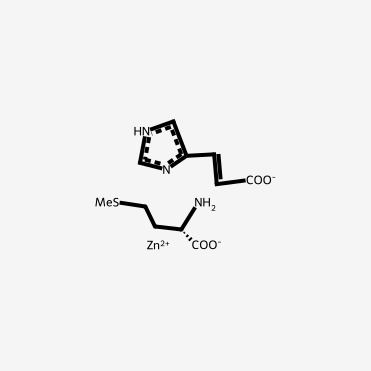 CSCC[C@H](N)C(=O)[O-].O=C([O-])C=Cc1c[nH]cn1.[Zn+2]